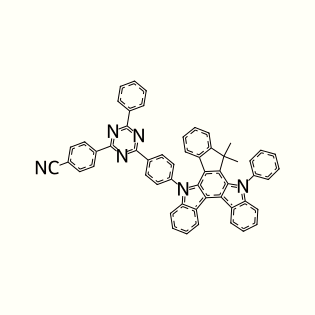 CC1(C)c2ccccc2-c2c1c1c(c3ccccc3n1-c1ccccc1)c1c3ccccc3n(-c3ccc(-c4nc(-c5ccccc5)nc(-c5ccc(C#N)cc5)n4)cc3)c21